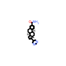 C[C@]12CC[C@@H]3c4ccc(C(N)=O)cc4CC[C@H]3[C@@H]1CC=C2c1cncnc1